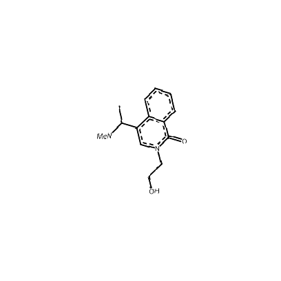 CNC(C)c1cn(CCO)c(=O)c2ccccc12